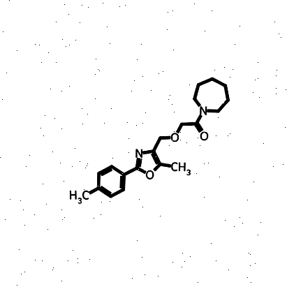 Cc1ccc(-c2nc(COCC(=O)N3CCCCCC3)c(C)o2)cc1